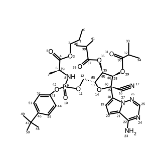 CCCOC(=O)[C@H](C)NP(=O)(OC[C@H]1O[C@@](C#N)(c2ccc3c(N)ncnn23)[C@H](OC(=O)C(C)C)[C@@H]1OC(=O)C(C)C)Oc1ccc(C(C)(C)C)cc1